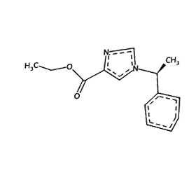 CCOC(=O)c1cn([C@@H](C)c2ccccc2)cn1